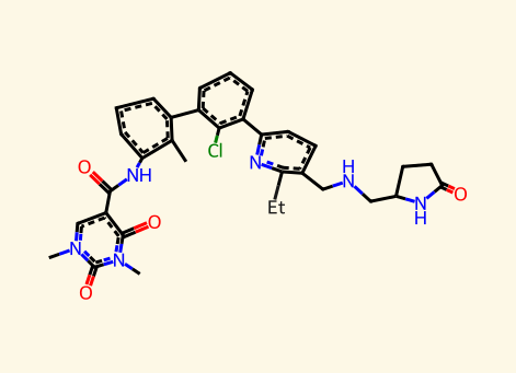 CCc1nc(-c2cccc(-c3cccc(NC(=O)c4cn(C)c(=O)n(C)c4=O)c3C)c2Cl)ccc1CNCC1CCC(=O)N1